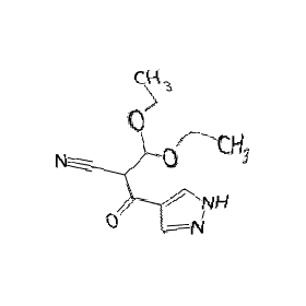 CCOC(OCC)C(C#N)C(=O)c1cn[nH]c1